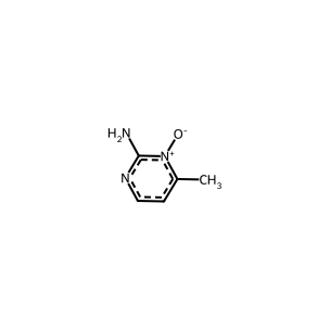 Cc1ccnc(N)[n+]1[O-]